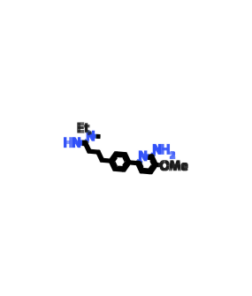 CCN(C)C(=N)CCCc1ccc(-c2ccc(OC)c(N)n2)cc1